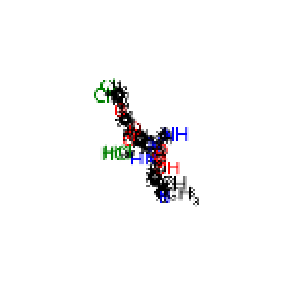 Cc1nccc(-c2ccc(C[C@H](NC(=O)[C@@H]3Cc4cc5c(cc4CN3C(=O)[C@H]3CCNC3)O[C@@H](c3ccc(OCc4ccc(Cl)c(Cl)c4)cc3)CO5)C(=O)O)cc2)c1C.Cl.Cl